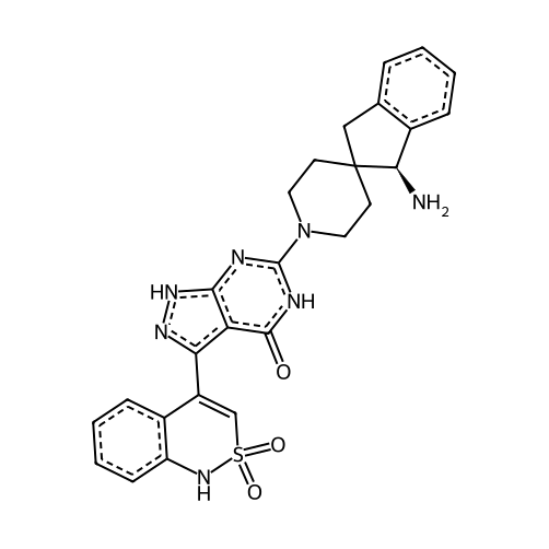 N[C@@H]1c2ccccc2CC12CCN(c1nc3[nH]nc(C4=CS(=O)(=O)Nc5ccccc54)c3c(=O)[nH]1)CC2